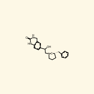 O=C1NCc2cc(C(O)CN3CCC[C@@H](Cc4ccccc4)C3)ccc2N1